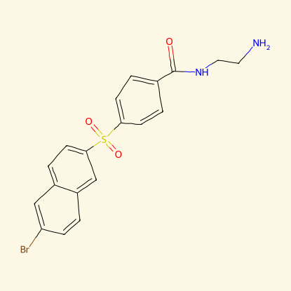 NCCNC(=O)c1ccc(S(=O)(=O)c2ccc3cc(Br)ccc3c2)cc1